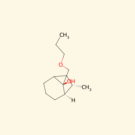 CCCOC[C@@]1(O)C2CCC[C@@H]1[C@@H](C)C2